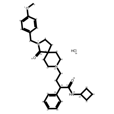 COc1ccc(CN2CCC3(CCN(CCC(C(=O)NC4CCC4)c4ccccc4)CC3)C2=O)cc1.Cl